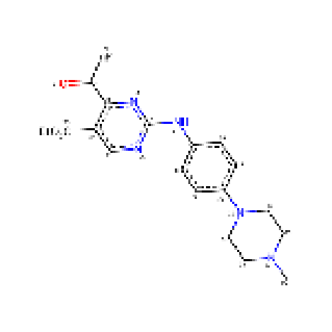 CCCC(=O)c1nc(Nc2ccc(N3CCN(C)CC3)cc2)ncc1C(=O)OCC